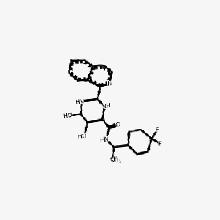 CC(NC(=O)C1NC(c2nccc3ccccc23)NC(O)C1O)C1CCC(F)(F)CC1